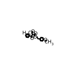 COc1ccc(CCOC(=O)C(C(C)=O)C(=O)c2ccccc2)cc1